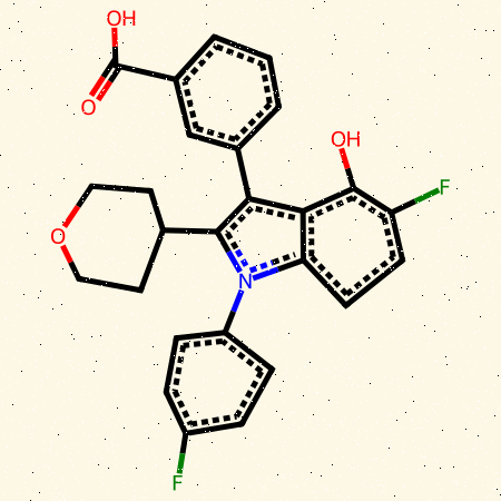 O=C(O)c1cccc(-c2c(C3CCOCC3)n(-c3ccc(F)cc3)c3ccc(F)c(O)c23)c1